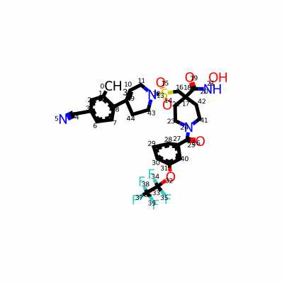 Cc1cc(C#N)ccc1C1=CCN(S(=O)(=O)CC2(C(=O)NO)CCN(C(=O)c3cccc(OC(F)(F)C(F)(F)F)c3)CC2)CC1